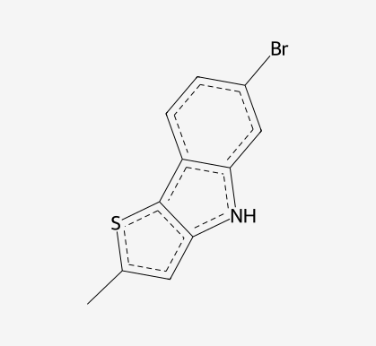 Cc1cc2[nH]c3cc(Br)ccc3c2s1